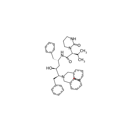 CC(C)[C@@H](C(=O)N[C@@H](Cc1ccccc1)C[C@H](O)[C@H](Cc1ccccc1)N(Cc1ccccc1)Cc1ccccc1)N1CCCNC1=O